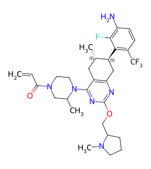 C=CC(=O)N1CCN(c2nc(OCC3CCCN3C)nc3c2C[C@H](C)[C@@H](c2c(C(F)(F)F)ccc(N)c2F)C3)C(C)C1